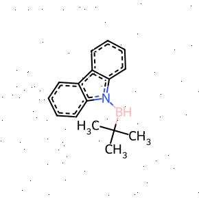 CC(C)(C)Bn1c2ccccc2c2ccccc21